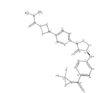 CN(C)C(=O)C1CN(c2ncc(N3CC[C@@H](Oc4ccc(C(=O)C5CC5(F)F)cc4)C3=O)cn2)C1